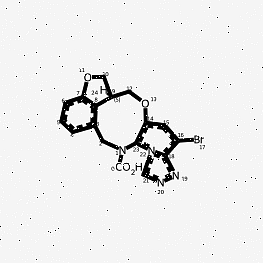 O=C(O)N1Cc2cccc3c2[C@@H](CO3)COc2cc(Br)c3nncn3c21